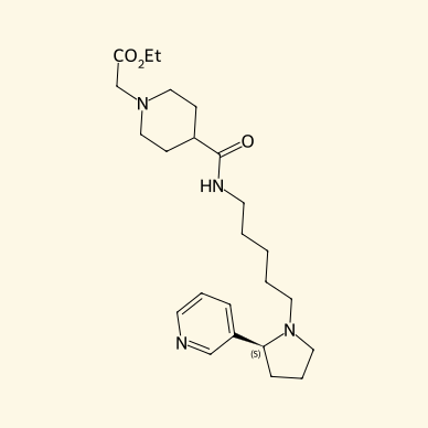 CCOC(=O)CN1CCC(C(=O)NCCCCCN2CCC[C@H]2c2cccnc2)CC1